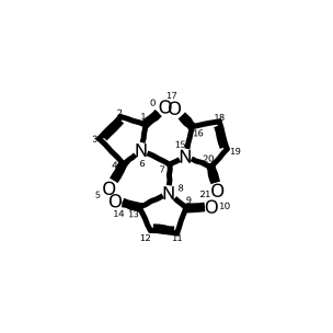 O=C1C=CC(=O)N1C(N1C(=O)C=CC1=O)N1C(=O)C=CC1=O